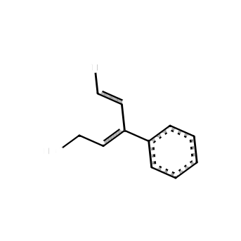 [2H]/C=C/C(=CCC)c1ccccc1